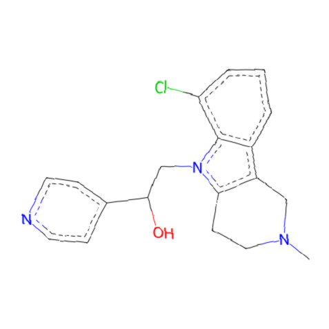 CN1CCc2c(c3cccc(Cl)c3n2CC(O)c2ccncc2)C1